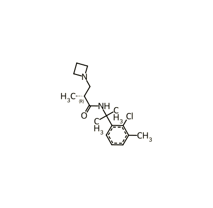 Cc1cccc(C(C)(C)NC(=O)[C@H](C)CN2CCC2)c1Cl